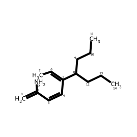 C=C(N)/C=C\C(=C/C)C(CCC)CCC